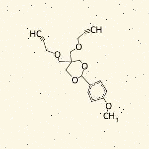 C#CCOCC1(COCC#C)COC(c2ccc(OC)cc2)OC1